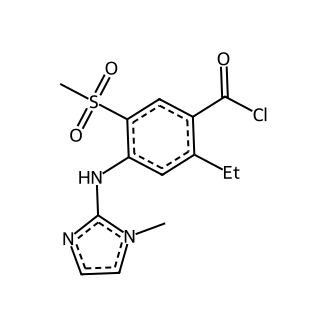 CCc1cc(Nc2nccn2C)c(S(C)(=O)=O)cc1C(=O)Cl